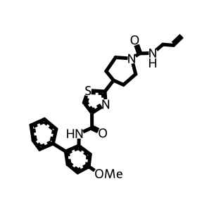 C=CCNC(=O)N1CCC(c2nc(C(=O)Nc3cc(OC)ccc3-c3ccccc3)cs2)CC1